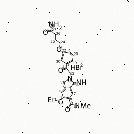 Br.CCOc1cc2c(cc1C(=O)NC)C(=N)N(CC(=O)c1cccc(OCCCC(N)=O)c1)C2